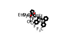 CCOC(=O)C(COC(=O)Oc1c(F)cc(NC(=O)c2ccccc2-c2ccc(C(F)(F)F)cc2)c(C(=O)N(C)CC(=O)OC)c1F)(C(=O)OCC)c1cccs1